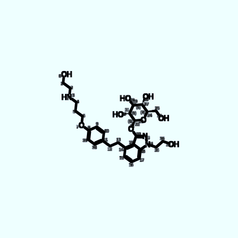 OCCNCCCOc1ccc(CCc2cccc3c2c(O[C@@H]2O[C@H](CO)[C@@H](O)[C@H](O)[C@H]2O)nn3CCO)cc1